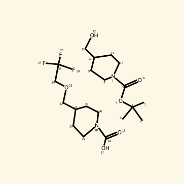 CC(C)(C)OC(=O)N1CCC(CO)CC1.O=C(O)N1CCC(COCC(F)(F)F)CC1